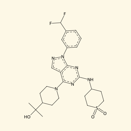 CC(C)(O)C1CCN(c2nc(NC3CCS(=O)(=O)CC3)nc3c2cnn3-c2cccc(C(F)F)c2)CC1